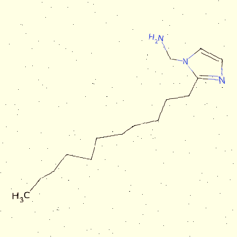 CCCCCCCCCCCc1nccn1CN